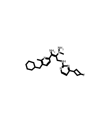 Cc1nc(/C(N)=C(\CNc2nccc(C3CC(F)C3)n2)N(C)N)ccc1CC1CCCCC1